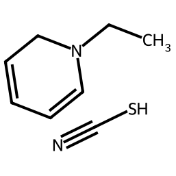 CCN1C=CC=CC1.N#CS